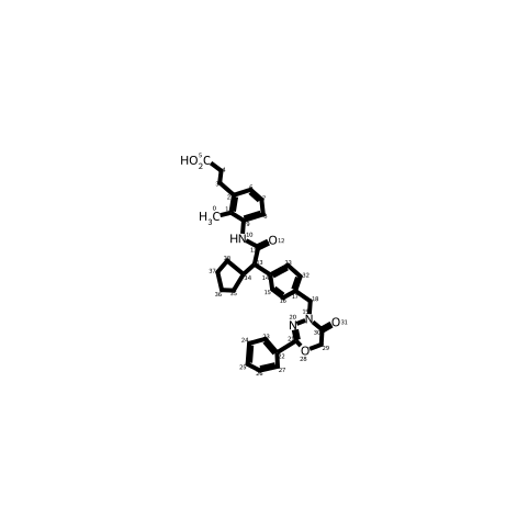 Cc1c(CCC(=O)O)cccc1NC(=O)C(c1ccc(CN2N=C(c3ccccc3)OCC2=O)cc1)C1CCCC1